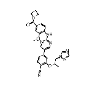 COc1cc(C(=O)N2CCC2)ccc1Nc1ncc(-c2ccc(C#N)c(OC(C)Cn3cncn3)c2)cn1